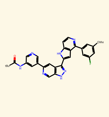 COc1cc(F)cc(-c2nccc3[nH]c(-c4n[nH]c5cnc(-c6cncc(NC(=O)C(C)(C)C)c6)cc45)cc23)c1